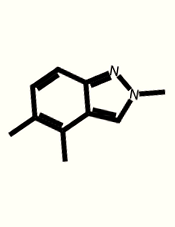 Cc1ccc2nn(C)cc2c1C